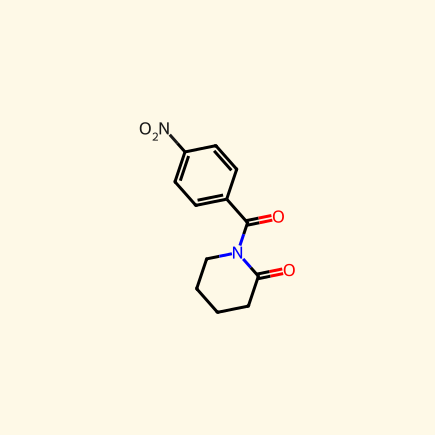 O=C1CCCCN1C(=O)c1ccc([N+](=O)[O-])cc1